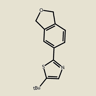 CC(C)(C)c1cnc(-c2ccc3c(c2)COC3)s1